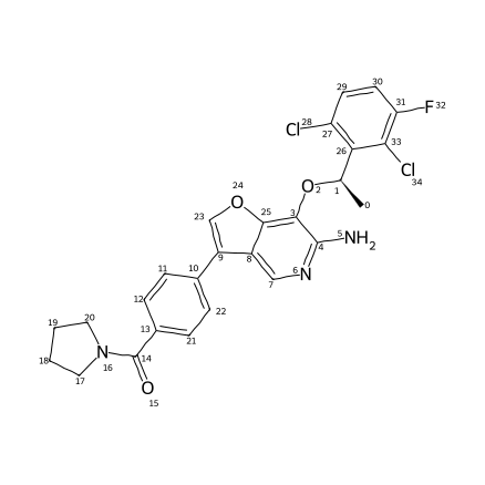 C[C@@H](Oc1c(N)ncc2c(-c3ccc(C(=O)N4CCCC4)cc3)coc12)c1c(Cl)ccc(F)c1Cl